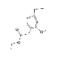 CCOC(=O)Cc1ccc(CC)cc1OC